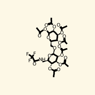 CC(=O)OC1O[C@H](CO[C@@H]2O[C@H](CNC(=O)C(F)(F)F)[C@@H](OC(C)=O)[C@H](OC(C)=O)[C@H]2OC(C)=O)[C@@H](OC(C)=O)[C@H](OC(C)=O)[C@H]1OC(C)=O